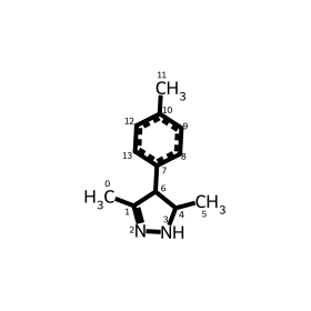 CC1=NNC(C)C1c1ccc(C)cc1